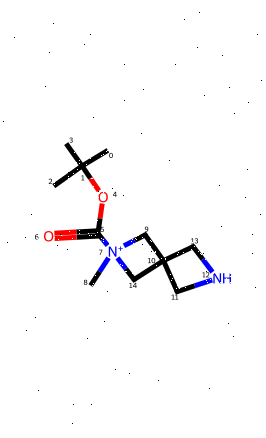 CC(C)(C)OC(=O)[N+]1(C)CC2(CNC2)C1